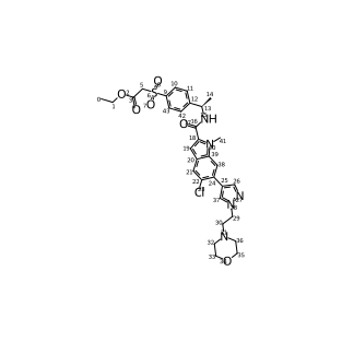 CCOC(=O)CS(=O)(=O)c1ccc([C@@H](C)NC(=O)c2cc3cc(Cl)c(-c4cnn(CCN5CCOCC5)c4)cc3n2C)cc1